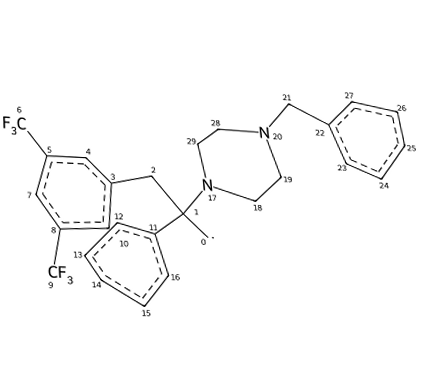 [CH2]C(Cc1cc(C(F)(F)F)cc(C(F)(F)F)c1)(c1ccccc1)N1CCN(Cc2ccccc2)CC1